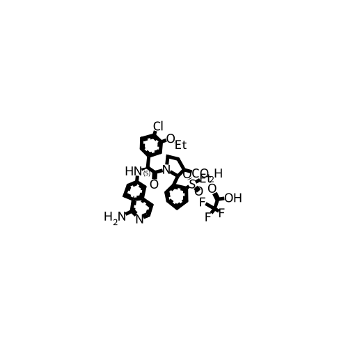 CCOc1cc([C@H](Nc2ccc3c(N)nccc3c2)C(=O)N2CCC(C(=O)O)C2c2ccccc2S(=O)(=O)CC)ccc1Cl.O=C(O)C(F)(F)F